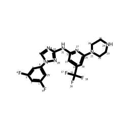 Fc1cc(F)cc(-n2cnc(Nc3cc(C(F)(F)F)cc(N4CCNCC4)n3)n2)c1